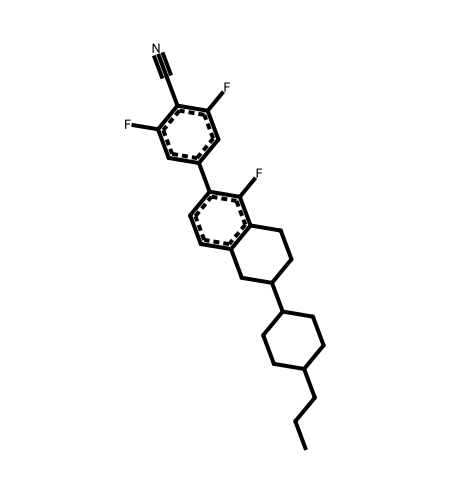 CCCC1CCC(C2CCc3c(ccc(-c4cc(F)c(C#N)c(F)c4)c3F)C2)CC1